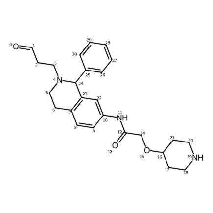 O=CCCN1CCc2ccc(NC(=O)COC3CCNCC3)cc2C1c1ccccc1